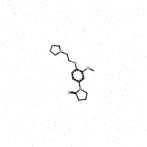 COc1cc(N2CCCC2=O)ccc1OCCN1CCCC1